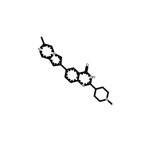 Cc1cn2cc(-c3ccc4nc(C5CCN(C)CC5)[nH]c(=O)c4c3)cc2cn1